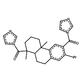 CC(C)c1cc2c(cc1C(=O)n1ccnc1)C1(C)CCCC(C)(C(=O)n3ccnc3)C1CC2